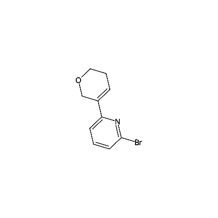 Brc1cccc(C2=CCCOC2)n1